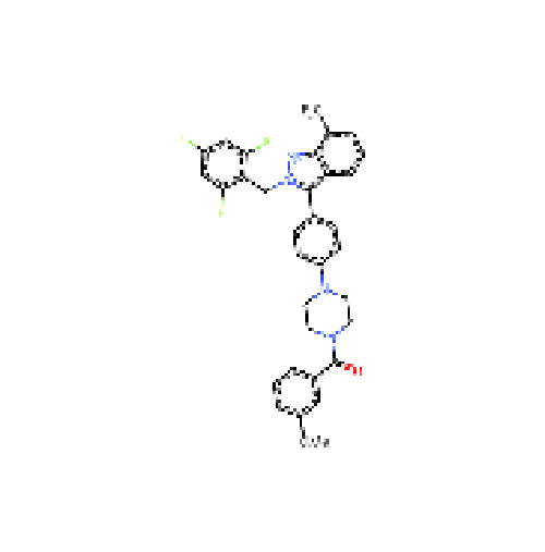 COc1cccc(C(=O)N2CCN(c3ccc(-c4c5cccc(C(F)(F)F)c5nn4Cc4c(F)cc(F)cc4F)cc3)CC2)c1